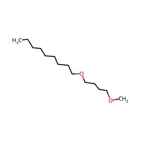 CCCC[CH]CCCCOCCCCOC